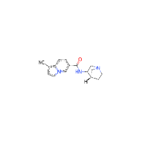 N#Cc1ccn2cc(C(=O)NC3CN4CC[C@H]3C4)ccc12